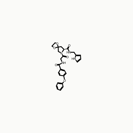 O=C(NCC(=O)N1CC2(C[C@H]1C(=O)NCc1ccc[nH]1)OCCO2)c1ccc(Oc2ccccc2)cc1